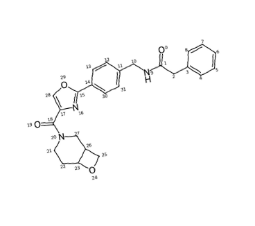 O=C(Cc1ccccc1)NCc1ccc(-c2nc(C(=O)N3CCC4OCC4C3)co2)cc1